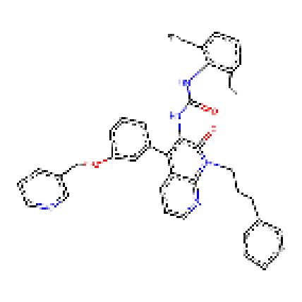 CC(C)c1cccc(C(C)C)c1NC(=O)Nc1c(-c2cccc(OCc3cccnc3)c2)c2cccnc2n(CCCc2ccccc2)c1=O